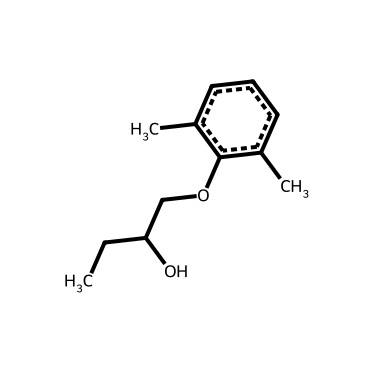 CCC(O)COc1c(C)cccc1C